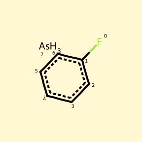 Fc1cc[c]cc1.[AsH3]